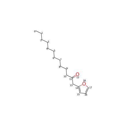 CCCCCCCCCCCC(=O)Cc1ccco1